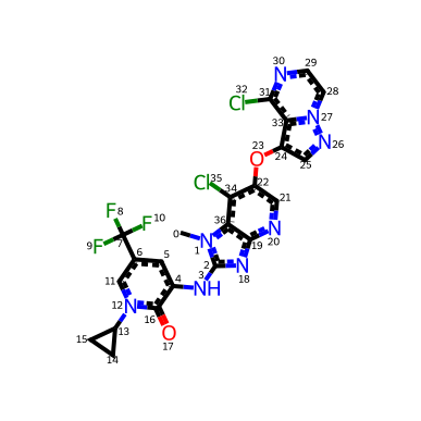 Cn1c(Nc2cc(C(F)(F)F)cn(C3CC3)c2=O)nc2ncc(Oc3cnn4ccnc(Cl)c34)c(Cl)c21